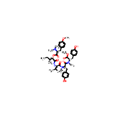 CC[C@H](C)[C@H](OC(=O)[C@H](Cc1ccc(OC)cc1)N(C)C)C(=O)N[C@H](C(=O)N(C)[C@H](Cc1ccc(O)cc1)C(=O)N(C)[C@@H](Cc1ccc(O)cc1)C(=O)OC)C(C)C